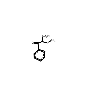 CCOC(=O)C(SC(F)(F)F)C(=O)c1ccccc1